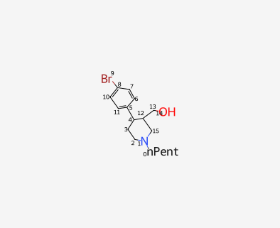 CCCCCN1CCC(c2ccc(Br)cc2)C(CO)C1